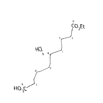 CCOC(=O)CCCCCCCC(=O)O.Cl